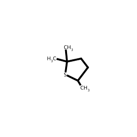 CC1CCC(C)(C)S1